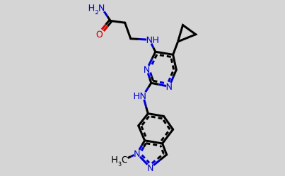 Cn1ncc2ccc(Nc3ncc(C4CC4)c(NCCC(N)=O)n3)cc21